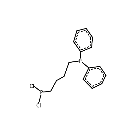 ClP(Cl)CCCCP(c1ccccc1)c1ccccc1